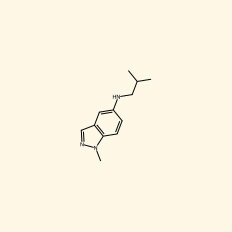 CC(C)CNc1ccc2c(cnn2C)c1